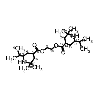 CC(C)C1CC(C(=O)OCCOC(=O)C2CC(C(C)C)NC(C)(C)C2)CC(C)(C)N1